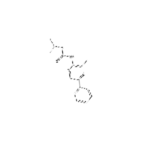 Cc1nc(-c2ccccc2)cnc1NC(=O)CC(C)C